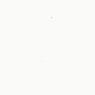 O=C(NC(Cc1ccccc1)C(=O)Nc1cccc2ncncc12)c1ccccc1